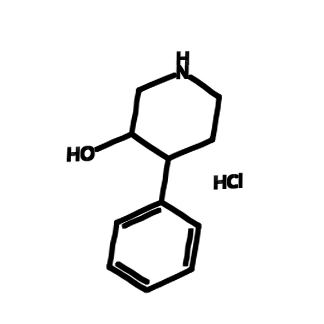 Cl.OC1CNCCC1c1ccccc1